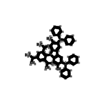 Cc1cc2c(cc1N(c1ccccc1)c1ccccc1)-c1cc(N(c3ccccc3)c3ccccc3)c(C)cc1B2c1c(C(C)C)cc(C(C)C)cc1C(C)C